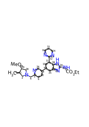 C=C1CN(Cc2ccc(-c3cc(-c4ncccn4)c4[nH]c(NC(=O)OCC)nc4c3)cn2)C[C@@H]1OC